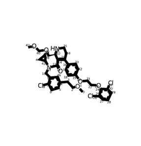 COCCc1ccc(Cl)c(CN(C(=O)C2=C(c3ccc(OCCOc4c(Cl)cccc4Cl)cc3)CCN[C@@H]2COCOC)C2CC2)c1